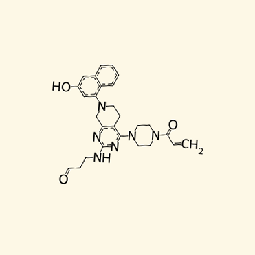 C=CC(=O)N1CCN(c2nc(NCCC=O)nc3c2CCN(c2cc(O)cc4ccccc24)C3)CC1